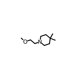 COCCN1CCC(C)(C)CC1